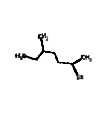 BCC(C)CCC(C)CC